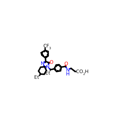 CCC1CCC2(CC1)N=C(c1ccc(C(F)(F)F)cc1)C(=O)N2[C@H](CC)c1ccc(C(=O)NCCC(=O)O)cc1